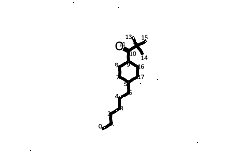 CCCCCCC1CCC(C(=O)C(C)(C)C)CC1